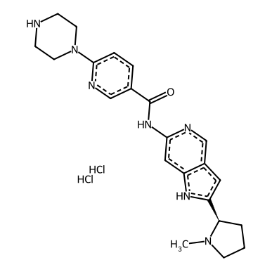 CN1CCC[C@@H]1c1cc2cnc(NC(=O)c3ccc(N4CCNCC4)nc3)cc2[nH]1.Cl.Cl